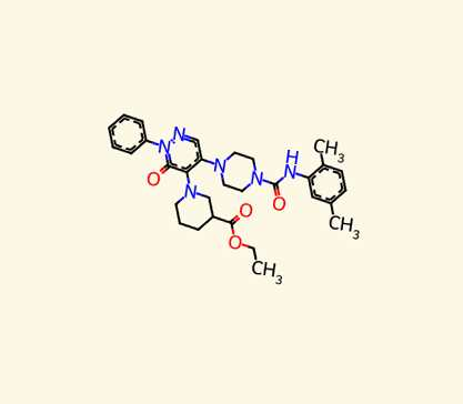 CCOC(=O)C1CCCN(c2c(N3CCN(C(=O)Nc4cc(C)ccc4C)CC3)cnn(-c3ccccc3)c2=O)C1